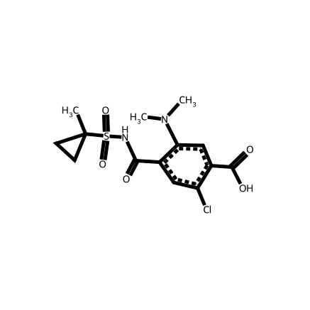 CN(C)c1cc(C(=O)O)c(Cl)cc1C(=O)NS(=O)(=O)C1(C)CC1